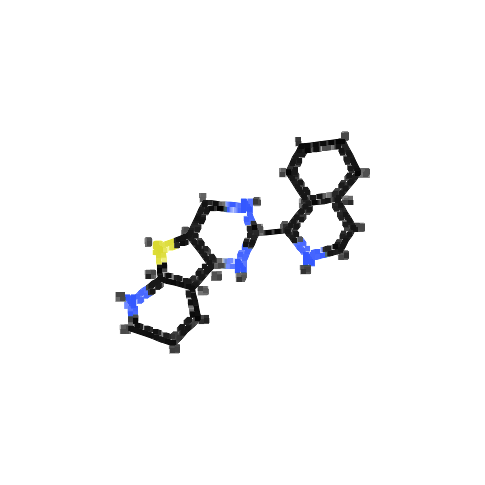 c1ccc2c(-c3ncc4sc5ncccc5c4n3)nccc2c1